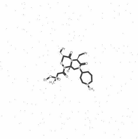 CCOP(C)(=O)CC(=O)N1O[C@H](CC(C)C)C(=O)N2[C@@H]1CN(C1CCCN(C)CC1)C(=O)[C@@H]2CC(C)C